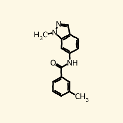 Cc1cccc(C(=O)Nc2ccc3cnn(C)c3c2)c1